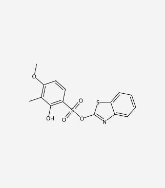 COc1ccc(S(=O)(=O)Oc2nc3ccccc3s2)c(O)c1C